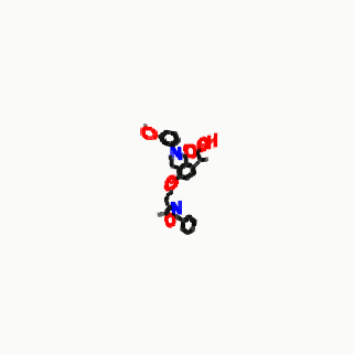 COc1cccc(N2CCc3c(OCCc4nc(-c5ccccc5)oc4C)ccc(C(C)C(=O)O)c3C2)c1